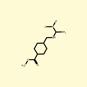 COC(=O)C1CCC(CNC(N)N(Cl)Cl)CC1